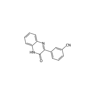 N#Cc1cccc(-c2nc3ccccc3[nH]c2=O)c1